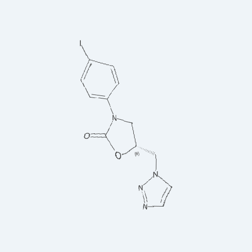 O=C1O[C@@H](Cn2ccnn2)CN1c1ccc(I)cc1